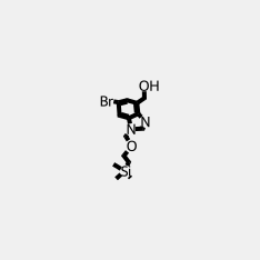 C[Si](C)(C)CCOCn1cnc2c(CO)cc(Br)cc21